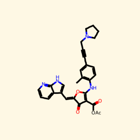 CC(=O)OC(=O)C1=C(Nc2ccc(C#CCN3CCCC3)cc2C)OC(=Cc2c[nH]c3ncccc23)C1=O